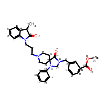 CC1C(=O)N(CCCN2CCC3(CC2)C(=O)N(Cc2cccc(C(=O)OC(C)(C)C)c2)CN3c2ccccc2)c2ccccc21